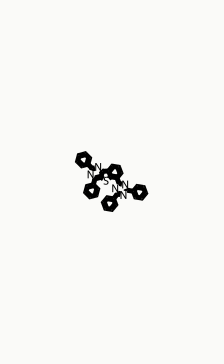 c1ccc(-c2nc(-c3ccccc3)nc(-c3cccc4c3sc3c(-c5ccccc5)nc(-c5ccccc5)nc34)n2)cc1